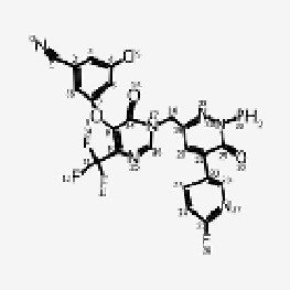 N#Cc1cc(Cl)cc(Oc2c(C(F)(F)F)ncn(Cc3cc(-c4ccc(F)nc4)c(=O)n(P)n3)c2=O)c1